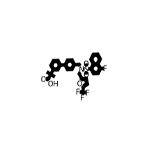 CC(C)(C(=O)O)c1cccc(-c2ccc(CN(Cc3ccc(C(F)(F)F)o3)S(=O)(=O)c3ccc(F)c4ccccc34)cc2)c1